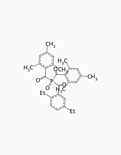 CCc1ccc(CC)c(C(=O)P(=O)(C(=O)c2c(C)cc(C)cc2C)C(=O)c2c(C)cc(C)cc2C)c1